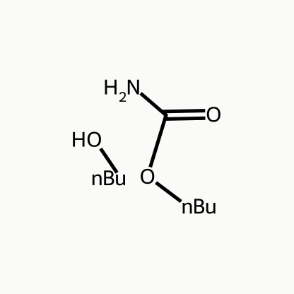 CCCCO.CCCCOC(N)=O